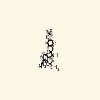 CC(C)CN(NC(=O)Cc1ccc(OC(F)(F)F)cc1)c1ccnc(C#N)n1